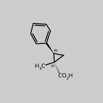 C[C@]1(C(=O)O)C[C@@H]1c1ccccc1